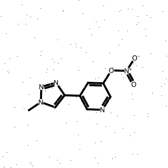 Cn1cc(-c2cncc(O[N+](=O)[O-])c2)nn1